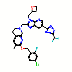 Cc1cc2c(nc1OCc1ccc(Cl)cc1F)CN(Cc1nc3cc(-c4nnc(C(F)F)[nH]4)cnc3n1C[C@@H]1CCO1)CC2